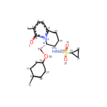 Cc1ccc2n(c1=O)[C@@H](COC1CCC(C)CC1)[C@@H](NS(=O)(=O)C1CC1)CC2